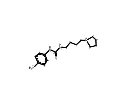 Nc1ccc(NC(=O)NCCCCN2CCCC2)cc1